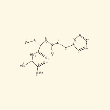 CCCCC(NC(=O)[C@H](CC(C)C)NC(=O)OCc1ccccc1)C(=O)OC